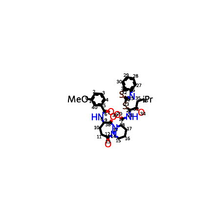 COc1cccc(C(=O)NC2CCC(=O)N3CCC[C@@H](C(=O)NC(Sc4nc5ccccc5s4)C(=O)CC(C)C)N3C2=O)c1